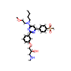 CCCCN(CCOC)c1cc(-c2ccc(S(C)(=O)=O)cc2)nc(-c2cccc(OCC(O)CNC)c2)n1